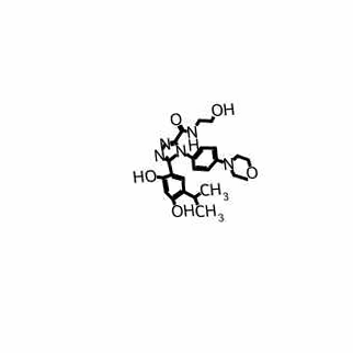 CC(C)c1cc(-c2nnc(C(=O)NCCO)n2-c2ccc(N3CCOCC3)cc2)c(O)cc1O